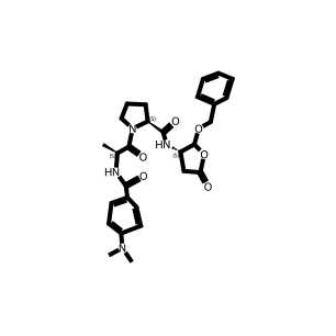 C[C@H](NC(=O)c1ccc(N(C)C)cc1)C(=O)N1CCC[C@H]1C(=O)N[C@H]1CC(=O)OC1OCc1ccccc1